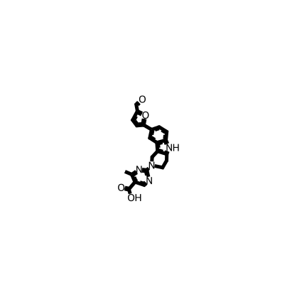 Cc1nc(N2CCc3[nH]c4ccc(-c5ccc(C=O)o5)cc4c3C2)ncc1C(=O)O